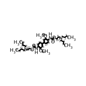 CCCCN(CCCC)CCOC(=O)Nc1ccc(-c2ccc(NC(=O)OCCN(CCCC)CCCC)c(OC)c2)cc1OC